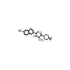 C[C@@H](NC(=O)c1cnc2cc(C#N)ccc2c1)C(=O)N1CCC2(CC1)CC2